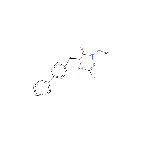 CCC(=O)N[C@@H](Cc1ccc(-c2ccccc2)cc1)C(=O)NCC(C)=O